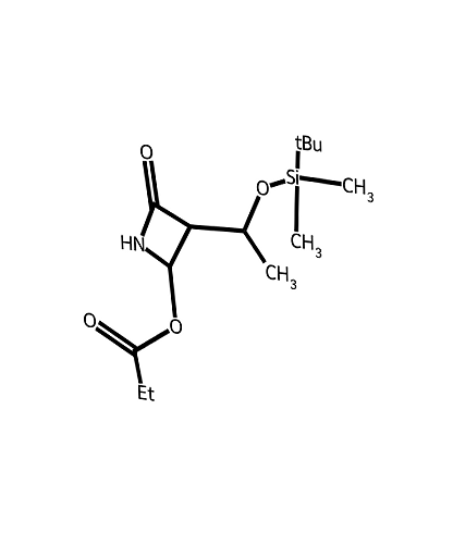 CCC(=O)OC1NC(=O)C1C(C)O[Si](C)(C)C(C)(C)C